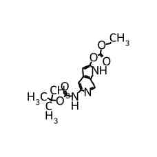 CCOC(=O)Oc1cc2cc(NC(=O)OC(C)(C)C)ncc2[nH]1